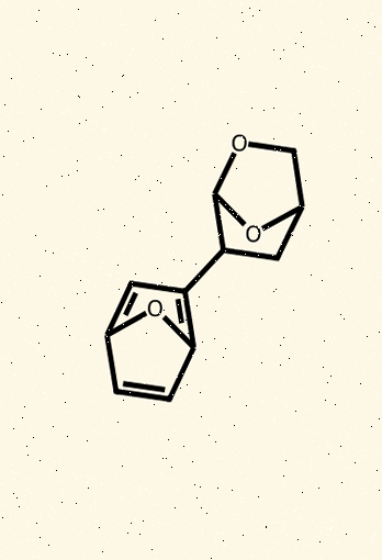 c1cc2oc1cc2C1CC2COC1O2